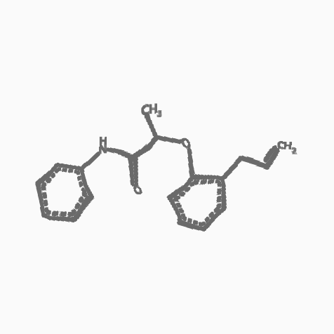 C=CCc1ccccc1OC(C)C(=O)Nc1ccccc1